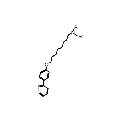 CC(C)N(CCCCCCCCOc1ccc(-c2ccccc2)cc1)C(C)C